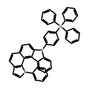 c1ccc(-n2ccc3ccc4ccc5c(c6ccccc6n5-c5ccc([Si](c6ccccc6)(c6ccccc6)c6ccccc6)cc5)c4c32)cc1